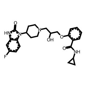 O=C(NC1CC1)c1ccccc1OCC(O)CN1CCC(n2c(=O)[nH]c3cc(F)ccc32)CC1